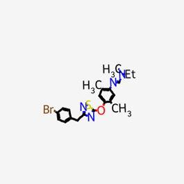 CCN(C)C=Nc1cc(C)c(Oc2nc(Cc3ccc(Br)cc3)ns2)cc1C